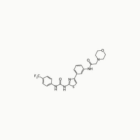 O=C(CN1CCOCC1)Nc1cccc(-c2csc(NC(=O)Nc3ccc(C(F)(F)F)cc3)n2)c1